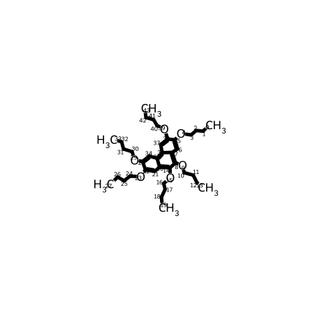 CCCCOc1cc2c(OCCCC)c(OCCCC)c3cc(OCCCC)c(OCCCC)cc3c2cc1OCCCC